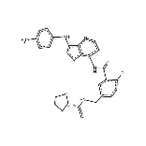 O=C(Nc1ccnc2c(Nc3ccc(C(F)(F)F)cc3)nsc12)c1cc(CNC(=O)[C@@H]2CCCO2)ccc1Cl